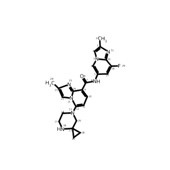 Cc1cn2cc(NC(=O)c3ccc(N4CCNC5(CC5)C4)n4cc(C)nc34)cc(F)c2n1